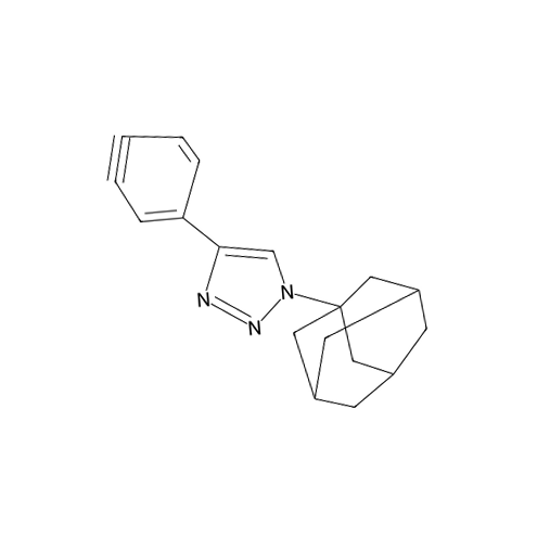 c1ccc(-c2cn(C34CC5CC(CC(C5)C3)C4)nn2)cc#1